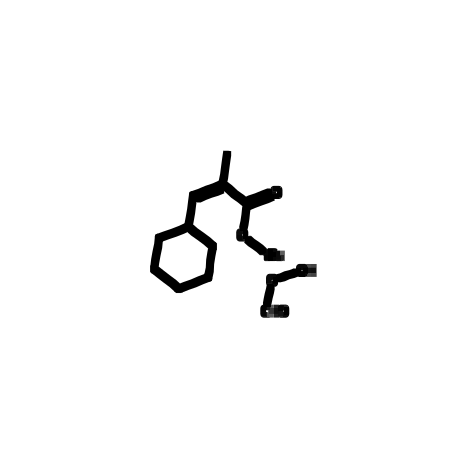 CC(=CC1CCCCC1)C(=O)OC(C)(C)C.O=COO